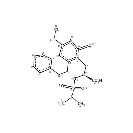 CN(C)S(=O)(=O)N[C@@H](Cn1c(CCc2ccccc2)cc(SC#N)nc1=O)C(=O)O